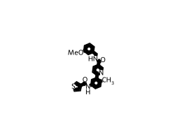 COc1cccc(CNC(=O)c2ccc(-c3cc(NC(=O)c4ccsc4)ccc3C)nc2)c1